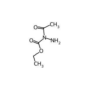 CCOC(=O)N(N)C(C)=O